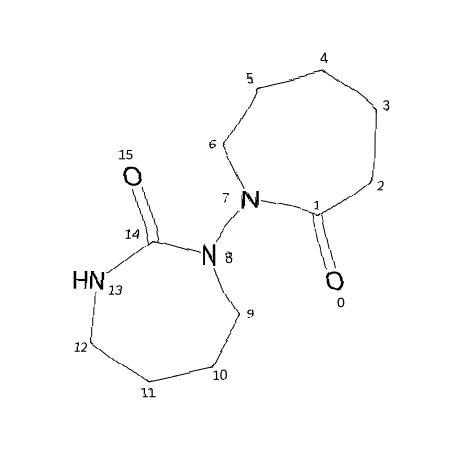 O=C1CCCCCN1N1CCCCNC1=O